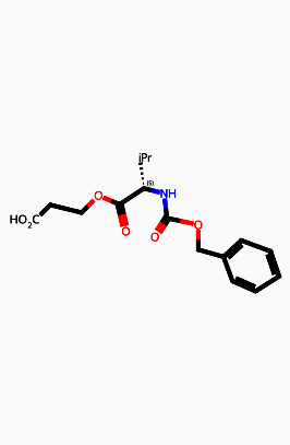 CC(C)[C@H](NC(=O)OCc1ccccc1)C(=O)OCCC(=O)O